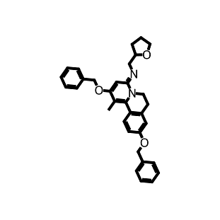 Cc1c(OCc2ccccc2)cc(=NCC2CCCO2)n2c1-c1ccc(OCc3ccccc3)cc1CC2